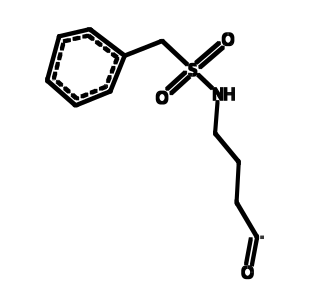 O=[C]CCCNS(=O)(=O)Cc1ccccc1